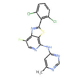 Cc1cc(Nc2ncc(F)c3nc(-c4c(Cl)cccc4Cl)sc23)ncn1